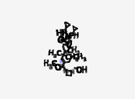 CCC/C(=C\C(C)(C)[C@H](C)CS(=O)(=O)N(PC1CC1)PC1CC1)[C@H](OC)[C@@H]1CC[C@H]1CO